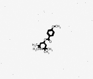 COc1ccc(C(=O)OC2CC(C)(C)NC(C)(C)C2)cc1